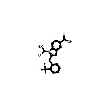 CC(C)n1c(Cc2ccccc2C(F)(F)F)cc2cc(C(=O)O)ccc21